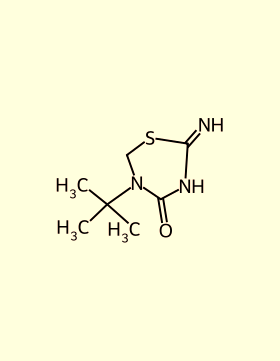 CC(C)(C)N1CSC(=N)NC1=O